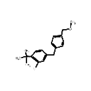 COCc1ccc(Cc2ccc(C(C)(C)C)c(Cl)c2)cc1